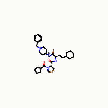 O=C(N[C@H](CCC1CCCCC1)C(=S)NC1CCN(Cc2ccccc2)CC1)[C@@H]1CSCN1C(=O)C1CCCC1